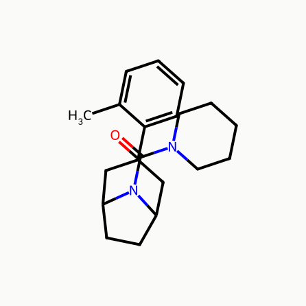 Cc1ccccc1C1CC2CCC(C1)N2C(=O)N1CCCCC1